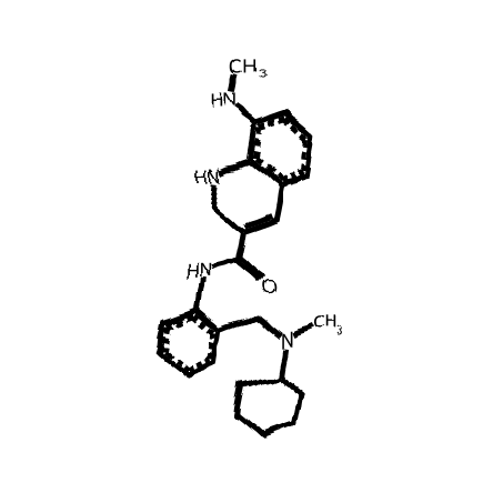 CNc1cccc2c1NCC(C(=O)Nc1ccccc1CN(C)C1CCCCC1)=C2